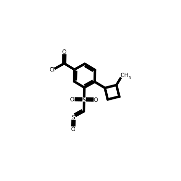 CC1CCC1c1ccc(C(=O)Cl)cc1S(=O)(=O)C=S=O